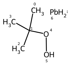 CC(C)(C)OO.[PbH2]